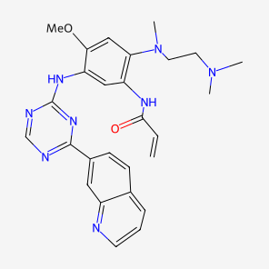 C=CC(=O)Nc1cc(Nc2ncnc(-c3ccc4cccnc4c3)n2)c(OC)cc1N(C)CCN(C)C